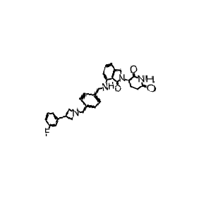 O=C1CCC(N2Cc3cccc(NCc4ccc(CN5CC(c6cccc(F)c6)C5)cc4)c3C2=O)C(=O)N1